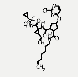 C=CCCCCCNC(=O)C1CC(Oc2ccnc(Cl)n2)CC1C(=O)NC1(C(=O)NS(=O)(=O)C2CC2)CC1C=C